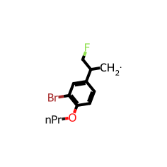 [CH2]C(CF)c1ccc(OCCC)c(Br)c1